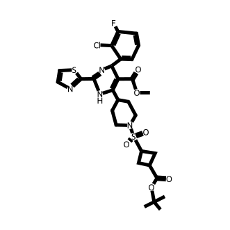 COC(=O)C1=C(C2CCN(S(=O)(=O)C3CC(C(=O)OC(C)(C)C)C3)CC2)NC(c2nccs2)=NC1c1cccc(F)c1Cl